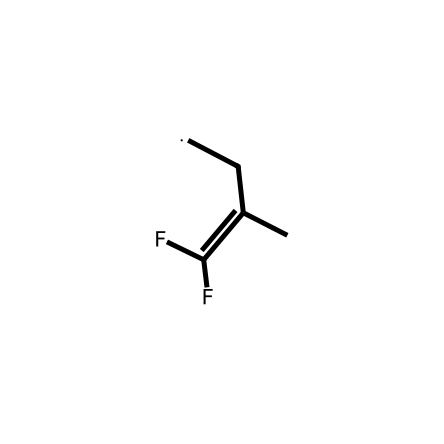 [CH2]CC(C)=C(F)F